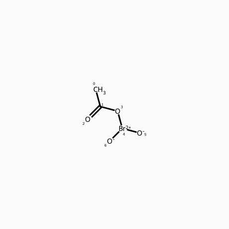 CC(=O)O[Br+2]([O-])[O-]